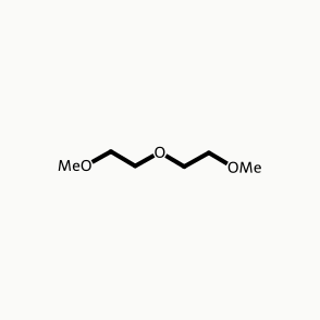 [CH2]OCCOCCO[CH2]